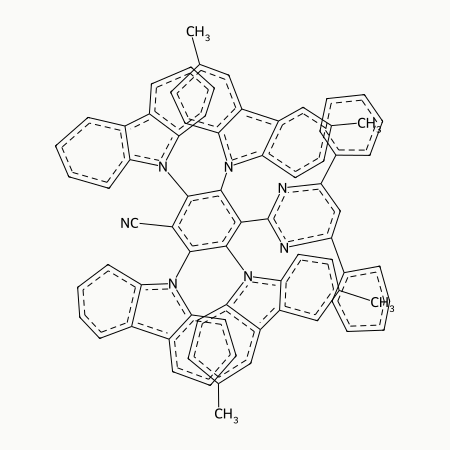 Cc1ccc2c(c1)c1cc(C)ccc1n2-c1c(-c2nc(-c3ccccc3)cc(-c3ccccc3)n2)c(-n2c3ccc(C)cc3c3cc(C)ccc32)c(-n2c3ccccc3c3ccccc32)c(C#N)c1-n1c2ccccc2c2ccccc21